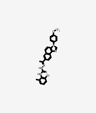 CCc1cccc(C)c1NC(=S)N/N=C(\C)c1ccc2c(ccc3c2ncn3-c2ccc(OC(F)(F)F)cc2)c1